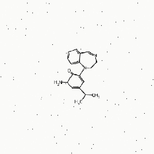 CC(C)C1=CC(N)C(=O)C(N2CCN=Cc3ccccc32)=C1